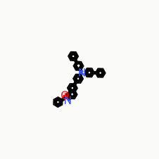 C1=CC(c2ccccc2)CC=C1N(c1ccc(-c2ccccc2)cc1)c1ccc(-c2ccc3c(ccc4nc(-c5ccccc5)oc43)c2)cc1